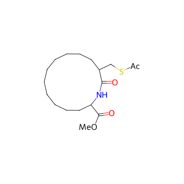 COC(=O)C1CCCCCCCCCCC(CSC(C)=O)C(=O)N1